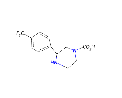 O=C(O)N1CCNC(c2ccc(C(F)(F)F)cc2)C1